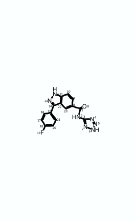 O=C(Nc1nn[nH]n1)c1ccc2[nH]nc(-c3ccc(F)cc3)c2c1